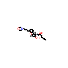 CC#CC[C@H](C)[C@H](O)/C=C/[C@@H]1[C@H]2c3cccc(CCCCN4CCOCC4)c3O[C@H]2C[C@H]1O